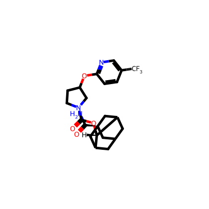 NC(=O)[C@]12CC3CC(C1)[C@@H](OC(=O)N1CCC(Oc4ccc(C(F)(F)F)cn4)C1)C(C3)C2